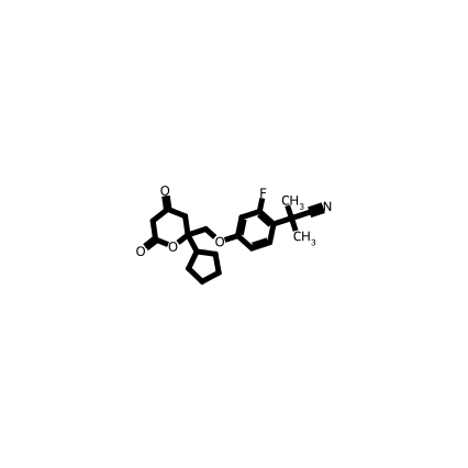 CC(C)(C#N)c1ccc(OCC2(C3CCCC3)CC(=O)CC(=O)O2)cc1F